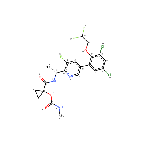 C[C@@H](NC(=O)C1(OC(=O)NC(C)(C)C)CC1)c1ncc(-c2cc(Cl)cc(Cl)c2OCC(F)F)cc1F